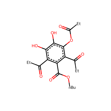 CCCCOC(=O)c1c(C(=O)CC)c(O)c(O)c(OC(=O)CC)c1C(=O)CC